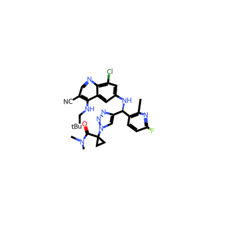 Cc1nc(F)ccc1[C@H](Nc1cc(Cl)c2ncc(C#N)c(NCC(C)(C)C)c2c1)c1cn(C2(C(=O)N(C)C)CC2)nn1